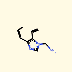 C=Cc1c(/C=C\C)ncn1CN